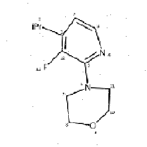 CC(C)c1ccnc(N2CCOCC2)c1F